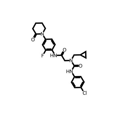 O=C(CN(CC1CC1)C(=O)Nc1ccc(Cl)cc1)Nc1ccc(N2CCCCC2=O)cc1F